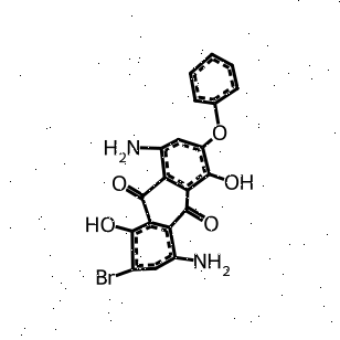 Nc1cc(Br)c(O)c2c1C(=O)c1c(O)c(Oc3ccccc3)cc(N)c1C2=O